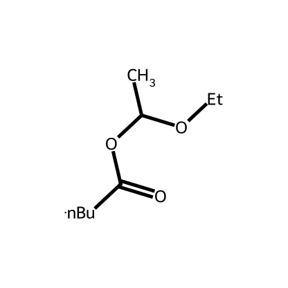 CCC[CH]C(=O)OC(C)OCC